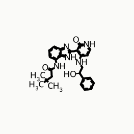 CC(C)(C)CC(=O)Nc1cccc2nc(-c3c(NC[C@H](O)c4ccccc4)cc[nH]c3=O)[nH]c12